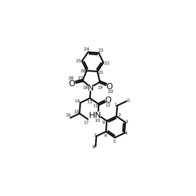 CCc1cccc(CC)c1NC(=O)C(CC(C)C)N1C(=O)c2ccccc2C1=O